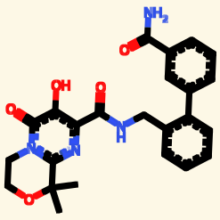 CC1(C)OCCn2c1nc(C(=O)NCc1ccccc1-c1cccc(C(N)=O)c1)c(O)c2=O